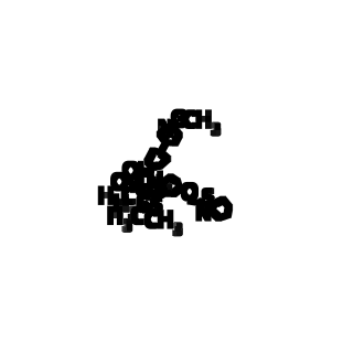 COc1ccc(-c2ccc(Cn3c(CC(C)(C)C(=O)O)c(SC(C)(C)C)c4cc(OCc5nc6ccccc6s5)ccc43)cc2)cn1